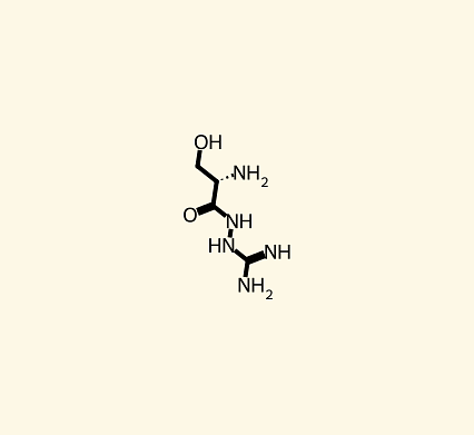 N=C(N)NNC(=O)[C@@H](N)CO